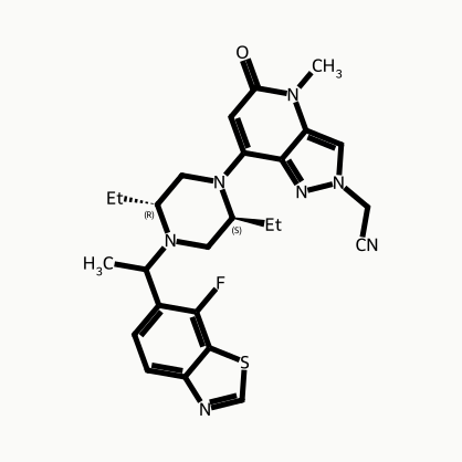 CC[C@H]1CN(C(C)c2ccc3ncsc3c2F)[C@H](CC)CN1c1cc(=O)n(C)c2cn(CC#N)nc12